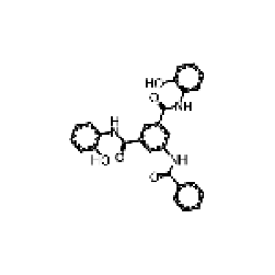 O=C(Nc1cc(C(=O)Nc2ccccc2O)cc(C(=O)Nc2ccccc2O)c1)c1ccccc1